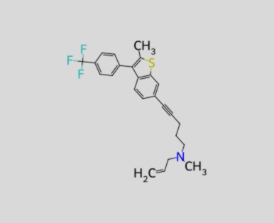 C=CCN(C)CCCC#Cc1ccc2c(-c3ccc(C(F)(F)F)cc3)c(C)sc2c1